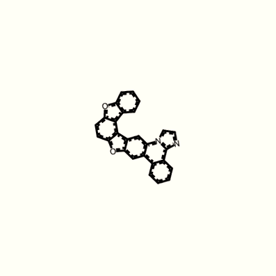 c1ccc2c(c1)oc1ccc3oc4cc5c6ccccc6c6nccn6c5cc4c3c12